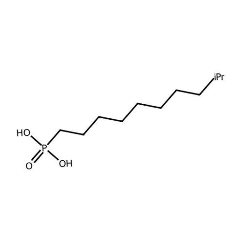 CC(C)CCCCCCCCP(=O)(O)O